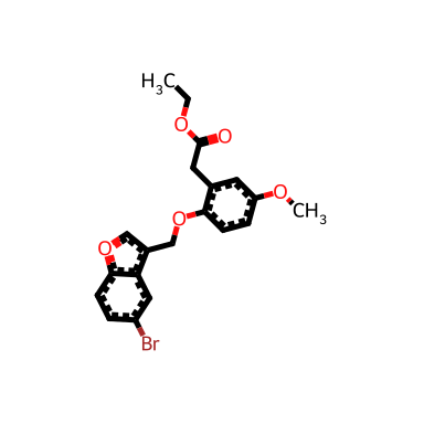 CCOC(=O)Cc1cc(OC)ccc1OCc1coc2ccc(Br)cc12